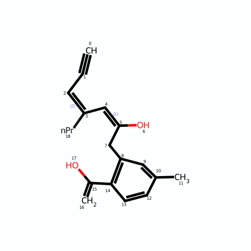 C#C/C=C(\C=C(\O)Cc1cc(C)ccc1C(=C)O)CCC